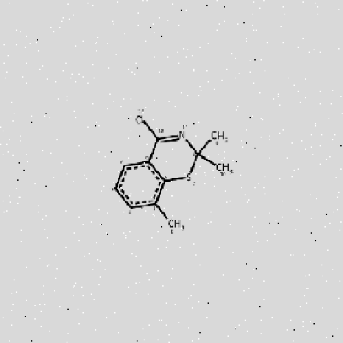 Cc1cccc2c1SC(C)(C)N=C2Cl